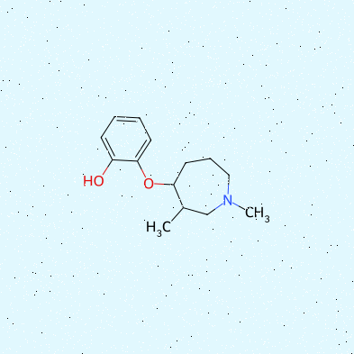 CC1CN(C)CCCC1Oc1ccccc1O